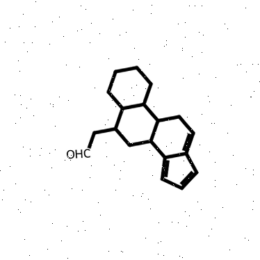 O=CCC1CC2C3=CC=CC3=CCC2C2CCCCC12